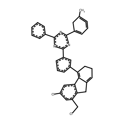 CC1=C=CC=C(c2nc(-c3ccccc3)nc(-c3cccc(C4=C5C(=CCC4)Cc4c(CCl)cc(Cl)cc45)c3)n2)C1